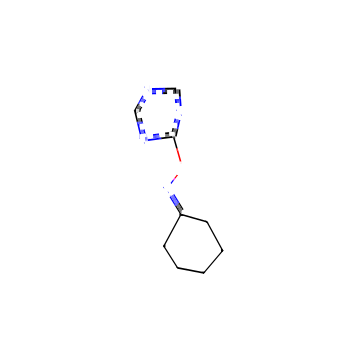 c1ncnc(ON=C2CCCCC2)n1